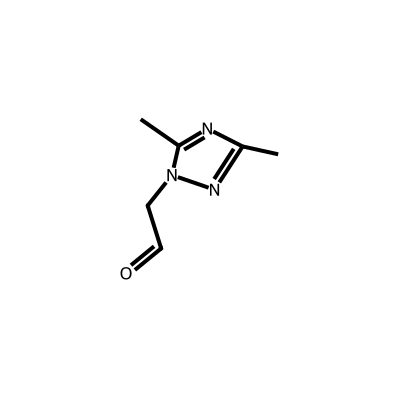 Cc1nc(C)n(CC=O)n1